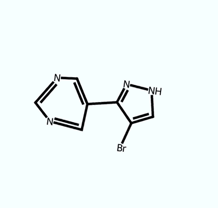 Brc1c[nH]nc1-c1cncnc1